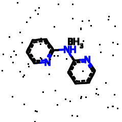 B.c1ccc(Nc2ccccn2)nc1